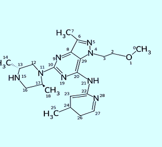 COCCn1nc(C)c2nc(N3C[C@@H](C)NC[C@@H]3C)nc(NC3=CC(C)CC=N3)c21